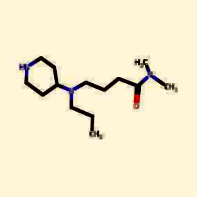 CCCN(CCCC(=O)N(C)C)C1CCNCC1